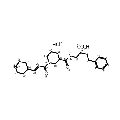 Cl.O=C(O)[C@H](CCc1ccccc1)CNC(=O)[C@@H]1CCCN(C(=O)/C=C/C2CCNCC2)C1